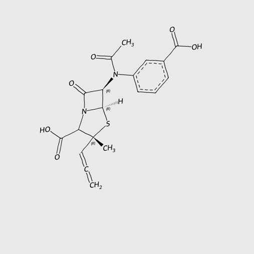 C=C=C[C@@]1(C)S[C@@H]2[C@H](N(C(C)=O)c3cccc(C(=O)O)c3)C(=O)N2C1C(=O)O